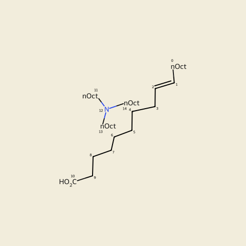 CCCCCCCCC=CCCCCCCCC(=O)O.CCCCCCCCN(CCCCCCCC)CCCCCCCC